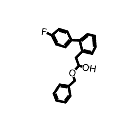 OC(Cc1ccccc1-c1ccc(F)cc1)OCc1ccccc1